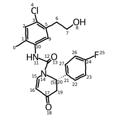 Cc1cc(Cl)c(CCO)cc1NC(=O)N1C=CC(=O)C[C@H]1c1ccc(F)cc1